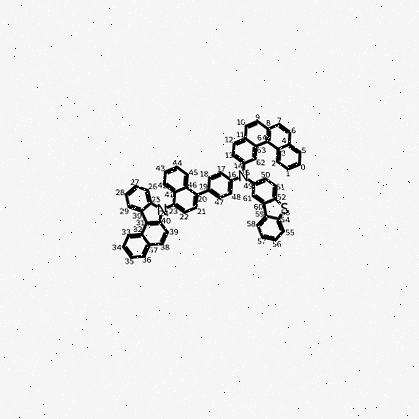 c1ccc2c(c1)ccc1ccc3ccc(N(c4ccc(-c5ccc(-n6c7ccccc7c7c8ccccc8ccc76)c6ccccc56)cc4)c4ccc5sc6ccccc6c5c4)cc3c12